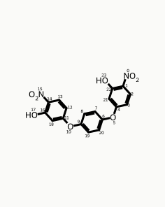 O=[N+]([O-])c1ccc(Oc2ccc(Oc3ccc([N+](=O)[O-])c(O)c3)cc2)cc1O